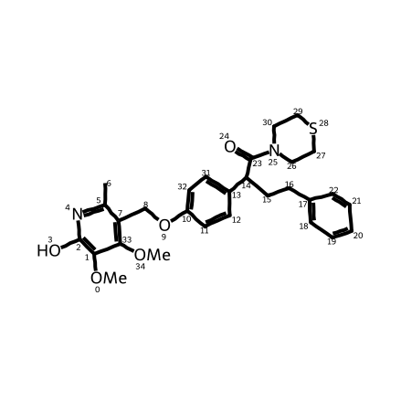 COc1c(O)nc(C)c(COc2ccc(C(CCc3ccccc3)C(=O)N3CCSCC3)cc2)c1OC